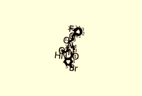 O=C1Nc2ccc(Br)cc2C(=O)N2CCN(C(=O)COc3ccccc3F)CC12